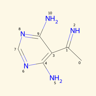 CC(=N)c1c(N)ncnc1N